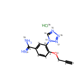 C#CCOc1ccc(C(=N)N)cc1-n1cnnn1.Cl